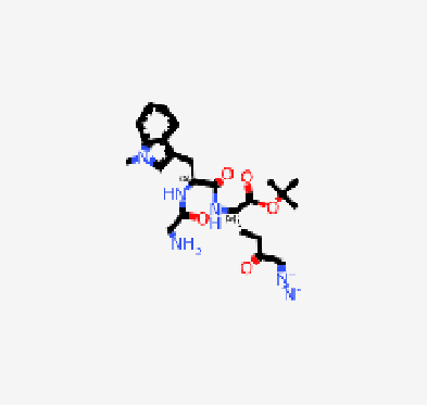 Cn1cc(C[C@H](NC(=O)CN)C(=O)N[C@@H](CCC(=O)C=[N+]=[N-])C(=O)OC(C)(C)C)c2ccccc21